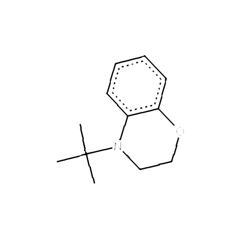 CC(C)(C)N1CCOc2ccccc21